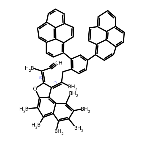 B/C(Cc1ccc(-c2ccc3ccc4cccc5ccc2c3c45)cc1-c1ccc2ccc3cccc4ccc1c2c34)=c1/c(=C(/B)C#C)oc2c(B)c(B)c3c(B)c(B)c(B)c(B)c3c12